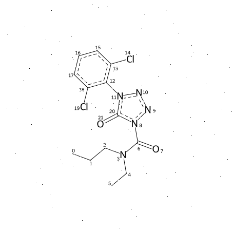 CCCN(CC)C(=O)n1nnn(-c2c(Cl)cccc2Cl)c1=O